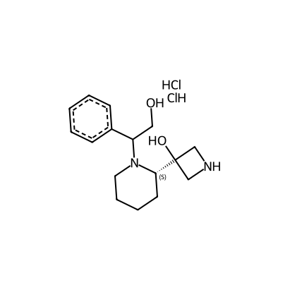 Cl.Cl.OCC(c1ccccc1)N1CCCC[C@H]1C1(O)CNC1